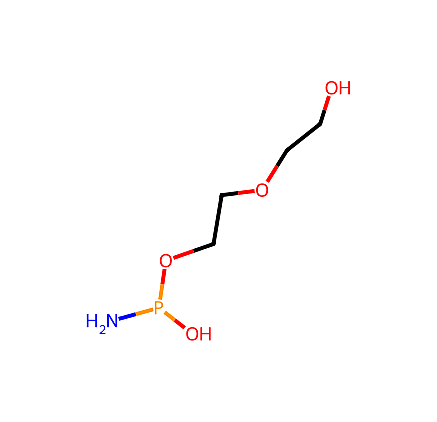 NP(O)OCCOCCO